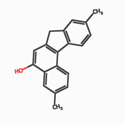 Cc1ccc2c(c1)Cc1cc(O)c3cc(C)ccc3c1-2